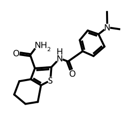 CN(C)c1ccc(C(=O)Nc2sc3c(c2C(N)=O)CCCC3)cc1